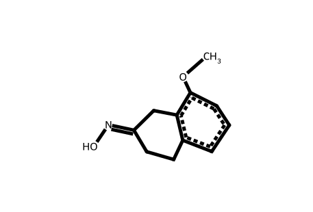 COc1cccc2c1C/C(=N/O)CC2